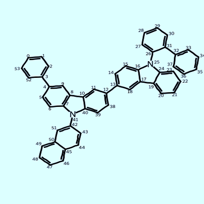 c1ccc(-c2ccc3c(c2)c2cc(-c4ccc5c(c4)c4ccccc4n5-c4ccccc4-c4ccccc4)ccc2n3-c2ccc3ccccc3c2)cc1